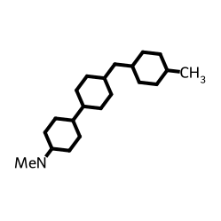 CNC1CCC(C2CCC(CC3CCC(C)CC3)CC2)CC1